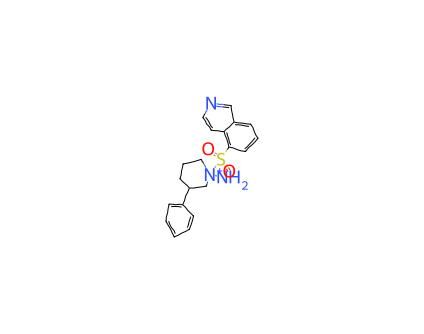 N[N+]1(S(=O)(=O)c2cccc3cnccc23)CCCC(c2ccccc2)C1